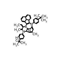 C=C1/C(=C\C)B2C3=C(C4C=CC=C5C=CC=C3C54)N(c3ccc(C(C)(C)C)cc3)C3=CC(C)=CC([C@H]2C3)N1c1ccc(C(C)(C)C)cc1